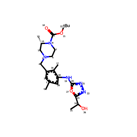 Cc1cc(CN2CCN(C(=O)OC(C)(C)C)[C@@H](C)C2)c(C)c(Nc2nnc(C(C)O)o2)c1